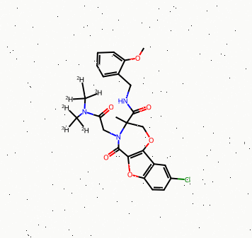 [2H]C([2H])([2H])N(C(=O)CN1C(=O)c2oc3ccc(Cl)cc3c2OCC1(C)C(=O)NCc1ccccc1OC)C([2H])([2H])[2H]